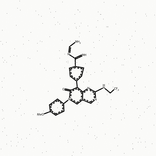 COc1ccc(-n2cc3cnc(NCC(F)(F)F)nc3c(-c3ccc(C(=N)/N=C\N)cc3)c2=O)cc1